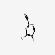 Cc1nc(C#N)ncc1Cl